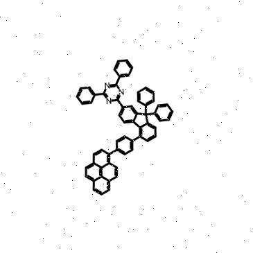 c1ccc(-c2nc(-c3ccccc3)nc(-c3ccc4c(c3)C(c3ccccc3)(c3ccccc3)c3cccc(-c5ccc(-c6ccc7ccc8cccc9ccc6c7c89)cc5)c3-4)n2)cc1